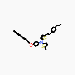 C#CC#CC#CC#COc1ccc(N(c2ccc(C)s2)c2ccc(C=Cc3ccc(C=CC)cc3)s2)cc1